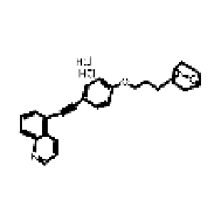 C(#Cc1cccc2ncccc12)c1ccc(OCCCN2CC3CCC2CC3)cc1.Cl.Cl